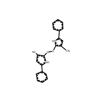 N#Cc1cc(-c2ccccc2)[nH]c1SSc1[nH]c(-c2ccccc2)cc1C#N